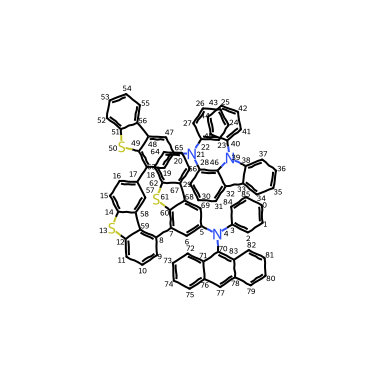 c1ccc(N(c2cc(-c3cccc4sc5ccc(-c6cc(N(c7ccccc7)c7cccc8c9ccccc9n(-c9ccccc9)c78)cc7c6sc6ccccc67)cc5c34)c3sc4ccccc4c3c2)c2c3ccccc3cc3ccccc23)cc1